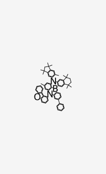 Cc1cc2c3c(c1)N(c1cccc4oc5ccccc5c14)c1cc(-c4ccccc4)ccc1B3c1cc3c(cc1N2c1cc2c(cc1C)C(C)(C)CC2(C)C)C(C)(C)CCC3(C)C